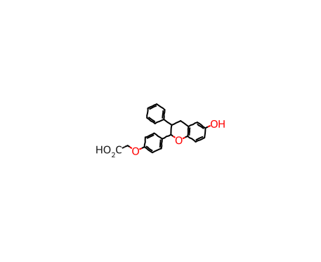 O=C(O)COc1ccc(C2Oc3ccc(O)cc3CC2c2ccccc2)cc1